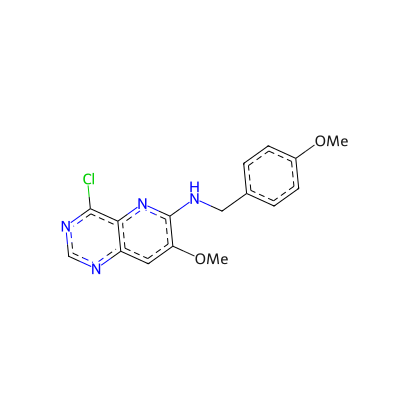 COc1ccc(CNc2nc3c(Cl)ncnc3cc2OC)cc1